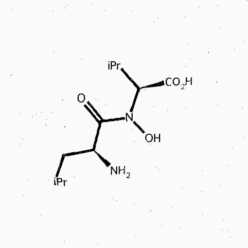 CC(C)C[C@H](N)C(=O)N(O)[C@H](C(=O)O)C(C)C